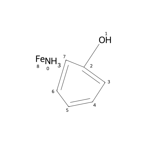 N.Oc1ccccc1.[Fe]